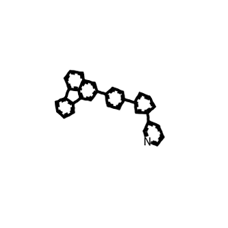 c1cncc(-c2cccc(-c3ccc(-c4cc5c6c(cccc6c4)-c4ccccc4-5)cc3)c2)c1